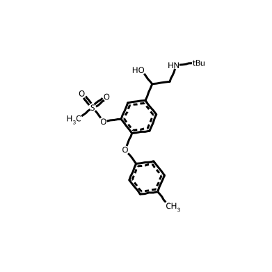 Cc1ccc(Oc2ccc(C(O)CNC(C)(C)C)cc2OS(C)(=O)=O)cc1